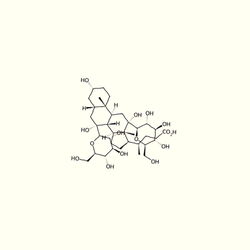 C[C@H](CCC(=O)O)[C@H]1CC[C@H]2[C@H]3[C@H](C[C@@](O)([C@@H]4O[C@H](CO)[C@@H](O)[C@H](O)[C@H]4O)[C@]12C)[C@@]1(C)CC[C@@H](O)C[C@H]1C[C@]3(O)C1O[C@H](CO)[C@@H](O)[C@H](O)[C@H]1O